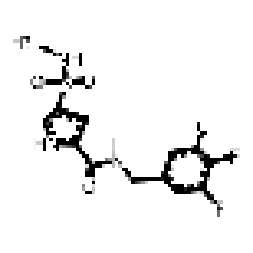 CC(C)(C)NS(=O)(=O)c1c[nH]c(C(=O)NCc2cc(F)c(F)c(Cl)c2)c1